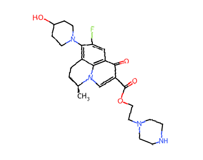 C[C@H]1CCc2c(N3CCC(O)CC3)c(F)cc3c(=O)c(C(=O)OCCN4CCNCC4)cn1c23